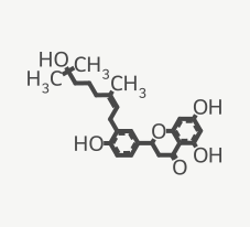 CC(=CCc1cc(C2CC(=O)c3c(O)cc(O)cc3O2)ccc1O)CCCC(C)(C)O